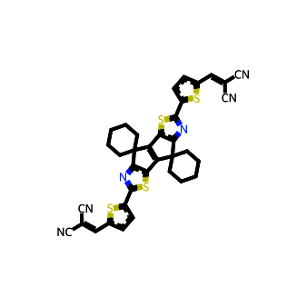 N#CC(C#N)=Cc1ccc(-c2nc3c(s2)C2=C(c4sc(-c5ccc(C=C(C#N)C#N)s5)nc4C24CCCCC4)C32CCCCC2)s1